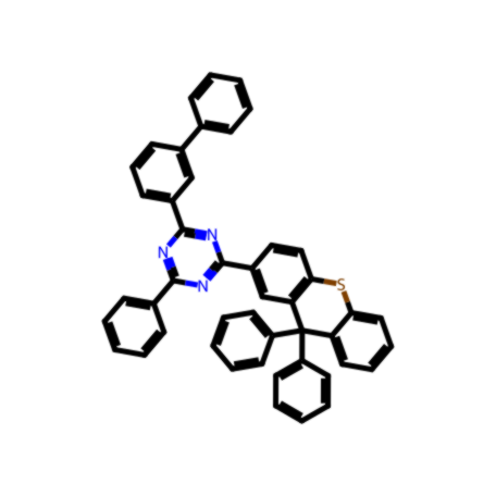 c1ccc(-c2cccc(-c3nc(-c4ccccc4)nc(-c4ccc5c(c4)C(c4ccccc4)(c4ccccc4)c4ccccc4S5)n3)c2)cc1